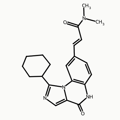 CN(C)C(=O)C=Cc1ccc2[nH]c(=O)c3cnc(C4CCCCC4)n3c2c1